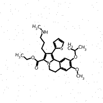 CCOC(=O)c1c(CCCNC)c(-c2cccs2)c2n1CCc1cc(OC)c(OC(C)C)cc1-2